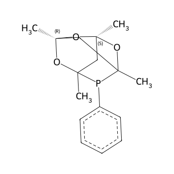 CC12C[C@]3(C)OC(C)(C[C@@](C)(O1)O3)P2c1ccccc1